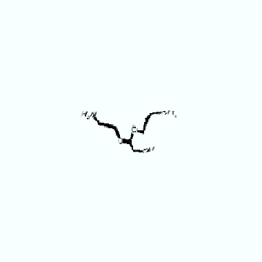 NCCOC(CO)OCCN